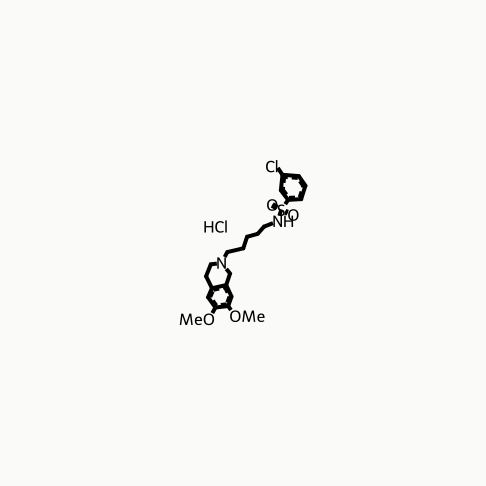 COc1cc2c(cc1OC)CN(CCCCCNS(=O)(=O)c1cccc(Cl)c1)CC2.Cl